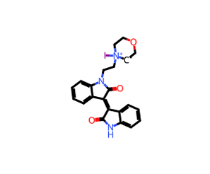 O=C1Nc2ccccc2/C1=C1\C(=O)N(CC[N+]2(I)[CH-]COCC2)c2ccccc21